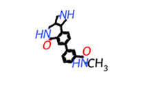 CNC(=O)c1cccc(-c2ccc3c(c2)C(=O)NCC2CNCC32)c1